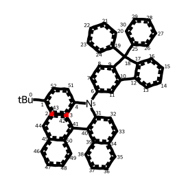 CC(C)(C)c1ccc(N(c2ccc3c(c2)-c2ccccc2C3(c2ccccc2)c2ccccc2)c2ccc3ccccc3c2-c2cccc3ccccc23)cc1